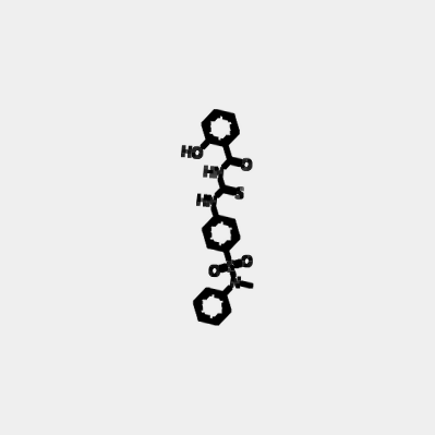 CN(c1ccccc1)S(=O)(=O)c1ccc(NC(=S)NC(=O)c2ccccc2O)cc1